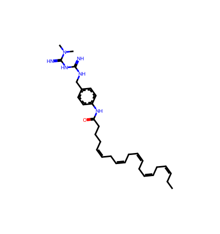 CC/C=C\C/C=C\C/C=C\C/C=C\C/C=C\CCCC(=O)Nc1ccc(CNC(=N)NC(=N)N(C)C)cc1